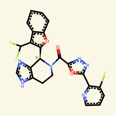 O=C(c1nnc(-c2ncccc2F)o1)N1CCc2[nH]cnc2[C@H]1c1oc2ccccc2c1C(F)F